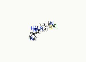 Clc1ncc(C2CCN(c3cc(-c4ccncc4)n[nH]3)CC2)s1